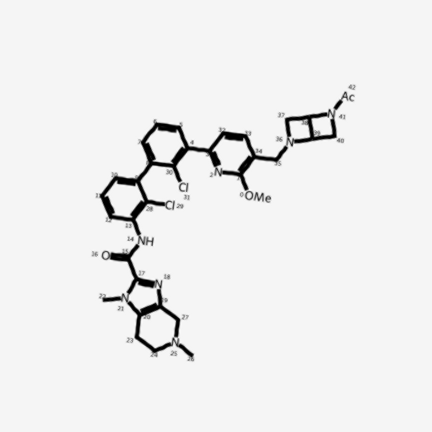 COc1nc(-c2cccc(-c3cccc(NC(=O)c4nc5c(n4C)CCN(C)C5)c3Cl)c2Cl)ccc1CN1CC2C1CN2C(C)=O